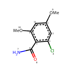 COc1cc(Cl)c(C(N)=O)c(OC)c1